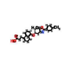 Cc1ccc(-c2nc(CCOc3cccc4c3CCC=C4CCC(=O)O)c(C)o2)cc1